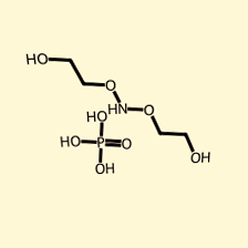 O=P(O)(O)O.OCCONOCCO